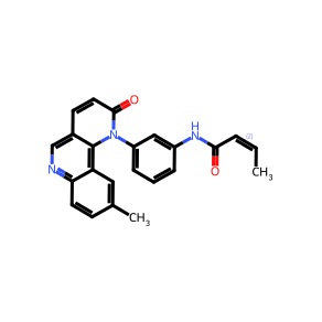 C/C=C\C(=O)Nc1cccc(-n2c(=O)ccc3cnc4ccc(C)cc4c32)c1